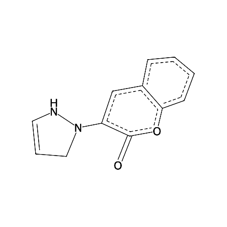 O=c1oc2ccccc2cc1N1CC=CN1